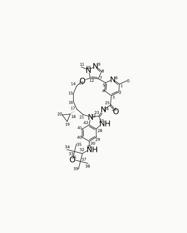 Cc1cc2cc(n1)-c1cnn(C)c1OCCC[C@@H](C1CC1)CN1/C(=N/C2=O)Nc2cc(NC3C(C)(C)OC3(C)C)ccc21